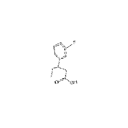 CCC(CC(=O)O)c1cccc(F)c1